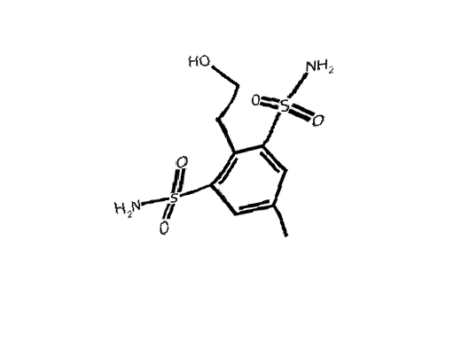 Cc1cc(S(N)(=O)=O)c(CCO)c(S(N)(=O)=O)c1